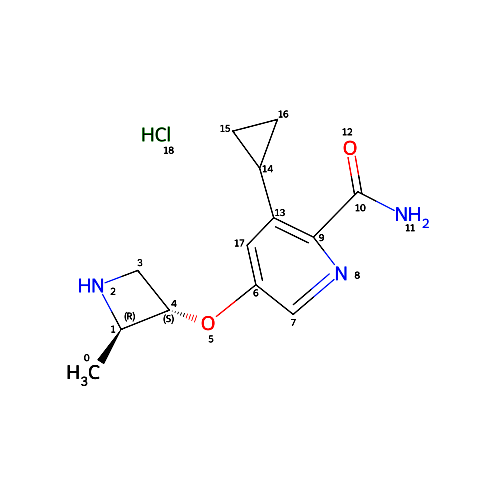 C[C@H]1NC[C@@H]1Oc1cnc(C(N)=O)c(C2CC2)c1.Cl